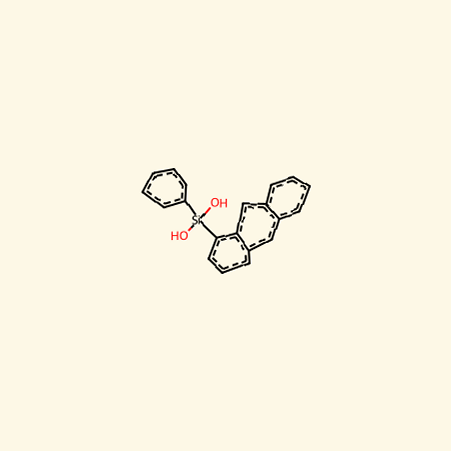 O[Si](O)(c1ccccc1)c1cccc2cc3ccccc3cc12